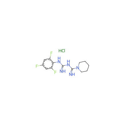 Cl.N=C(NC(=N)N1CCCCC1)Nc1c(F)cc(F)cc1F